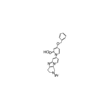 CC(C)N1CCc2nc3cc(-n4ccc(OCc5ccccc5)cc4=O)ccn3c2C1.Cl